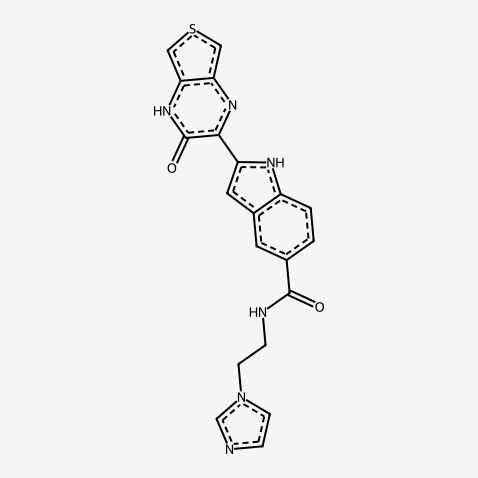 O=C(NCCn1ccnc1)c1ccc2[nH]c(-c3nc4cscc4[nH]c3=O)cc2c1